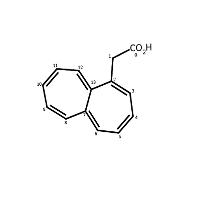 O=C(O)CC1=CC=CC=C2C=CC=CC=C21